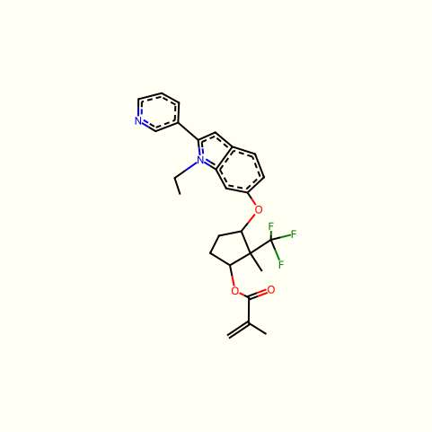 C=C(C)C(=O)OC1CCC(Oc2ccc3cc(-c4cccnc4)n(CC)c3c2)C1(C)C(F)(F)F